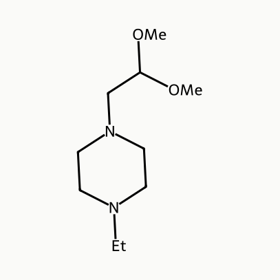 CCN1CCN(CC(OC)OC)CC1